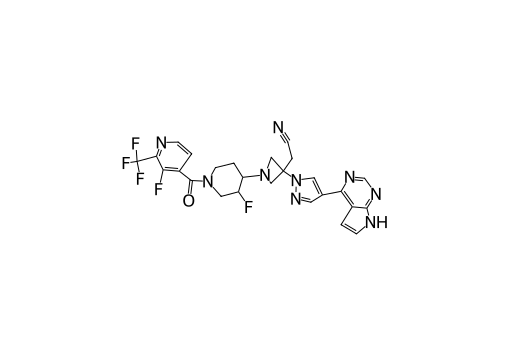 N#CCC1(n2cc(-c3ncnc4[nH]ccc34)cn2)CN(C2CCN(C(=O)c3ccnc(C(F)(F)F)c3F)CC2F)C1